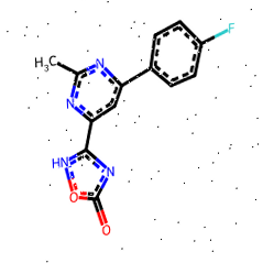 Cc1nc(-c2ccc(F)cc2)cc(-c2nc(=O)o[nH]2)n1